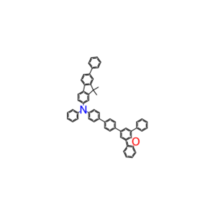 CC1(C)c2cc(-c3ccccc3)ccc2-c2ccc(N(c3ccccc3)c3ccc(-c4ccc(-c5cc(-c6ccccc6)c6oc7ccccc7c6c5)cc4)cc3)cc21